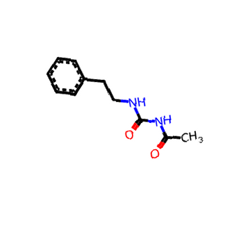 CC(=O)NC(=O)NCCc1ccccc1